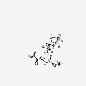 C=C(C)C(=O)OCC(CO[Si](C)(C)O[Si](C)(C)C(C)[Si](C)(C)C)OCCC